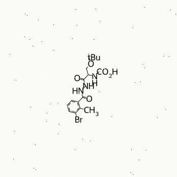 Cc1c(Br)cccc1C(=O)NNC(=O)C(COC(C)(C)C)NC(=O)O